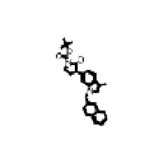 Cc1cn(Cc2ccc3ccccc3c2)c2cc(C3CCN(C(=O)OC(C)(C)C)C3=O)ccc12